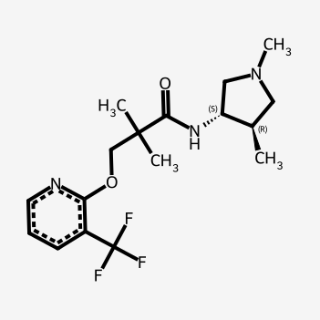 C[C@@H]1CN(C)C[C@H]1NC(=O)C(C)(C)COc1ncccc1C(F)(F)F